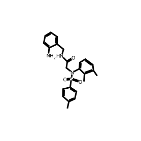 Cc1ccc(S(=O)(=O)N(CC(=O)NCc2ccccc2N)c2cccc(C)c2C)cc1